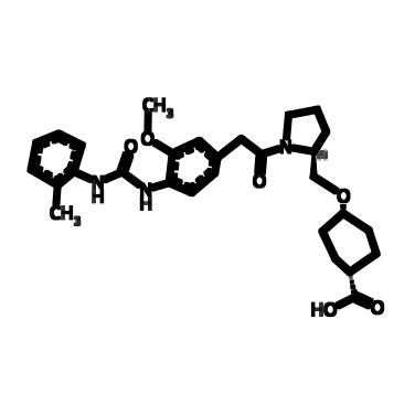 COc1cc(CC(=O)N2CCC[C@H]2CO[C@H]2CC[C@@H](C(=O)O)CC2)ccc1NC(=O)Nc1ccccc1C